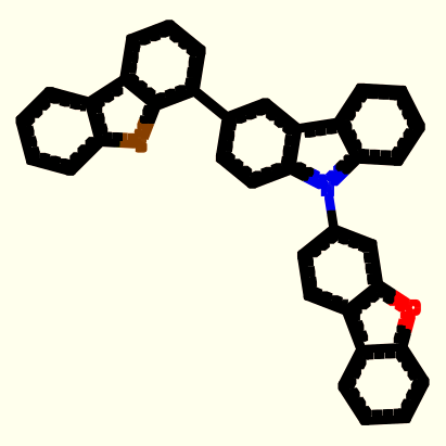 c1ccc2c(c1)oc1cc(-n3c4ccccc4c4cc(-c5cccc6c5sc5ccccc56)ccc43)ccc12